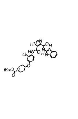 CC(C)COC(=O)N1CCC(Oc2ccc(NC(=O)c3[nH]cnc3C(=O)Nc3nc4ccccc4[nH]3)c(Cl)c2)CC1